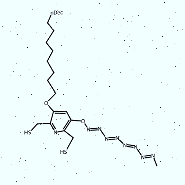 CCCCCCCCCCCCCCCCCCOc1cc(ON=NN=NN=NN=NC)c(CS)nc1CS